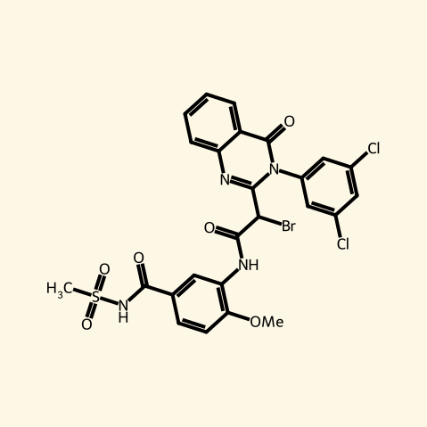 COc1ccc(C(=O)NS(C)(=O)=O)cc1NC(=O)C(Br)c1nc2ccccc2c(=O)n1-c1cc(Cl)cc(Cl)c1